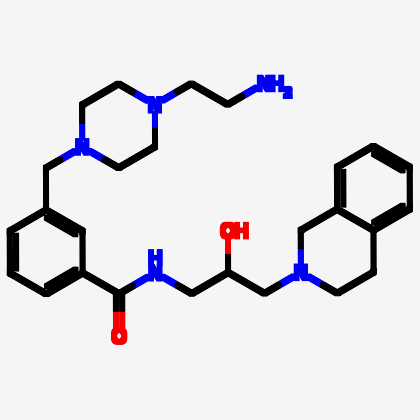 NCCN1CCN(Cc2cccc(C(=O)NCC(O)CN3CCc4ccccc4C3)c2)CC1